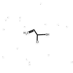 C=CC(S)Cl